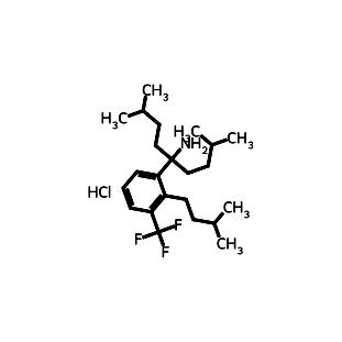 CC(C)CCc1c(C(F)(F)F)cccc1C(N)(CCC(C)C)CCC(C)C.Cl